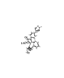 COc1ccccc1C1C(C(=O)CC(C)C)=C(O)C(=O)N1c1ccc(C2=NCCS2)cc1